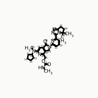 CNC(=O)OCc1nc(N(C)C2CCCC2)cc2c1CN(c1cccc(-c3nnc4n3C(C)(C)CC4)n1)C2=O